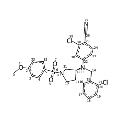 COc1ccc(S(=O)(=O)N2CC[C@H](N(Cc3ccccc3Cl)c3ccc(C#N)c(Cl)c3)C2)cc1